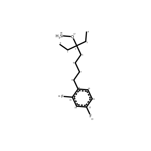 CCC(CC)(CCCCc1ccc(F)cc1F)O[SiH3]